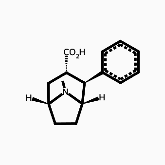 CN1[C@@H]2CC[C@H]1[C@H](c1ccccc1)[C@@H](C(=O)O)C2